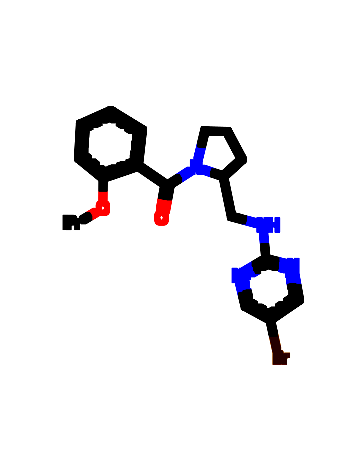 CC(C)Oc1ccccc1C(=O)N1CCCC1CNc1ncc(Br)cn1